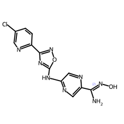 N/C(=N\O)c1cnc(Nc2nc(-c3ccc(Cl)cn3)no2)cn1